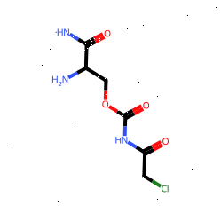 [NH]C(=O)C(N)COC(=O)NC(=O)CCl